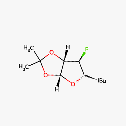 CC[C@@H](C)[C@@H]1O[C@@H]2OC(C)(C)O[C@@H]2[C@H]1F